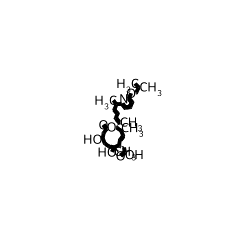 C/C(=C\C=C\C(C)c1cccc(OCC(C)C)n1)[C@H]1OC(=O)C[C@H](O)CC[C@@](C)(O)[C@@H](CC(=O)O)/C=C/[C@@H]1C